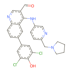 O=Cc1cnc2ccc(-c3cc(Cl)c(O)c(Cl)c3)cc2c1Nc1ccc(CN2CCCC2)nc1